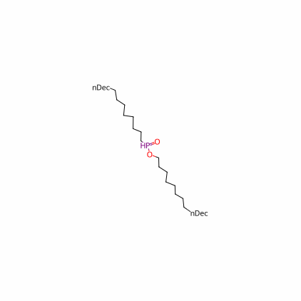 CCCCCCCCCCCCCCCCCCO[PH](=O)CCCCCCCCCCCCCCCCCC